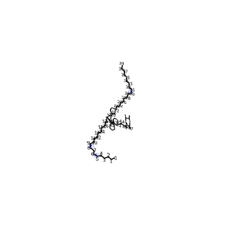 CCCCC/C=C\C/C=C\CCCCCCCCN(CCOCCCCCCCC/C=C\CCCCCCCC)C(=O)OCCCNC